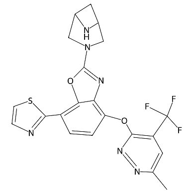 Cc1cc(C(F)(F)F)c(Oc2ccc(-c3nccs3)c3oc(N4CC5CC(C4)N5)nc23)nn1